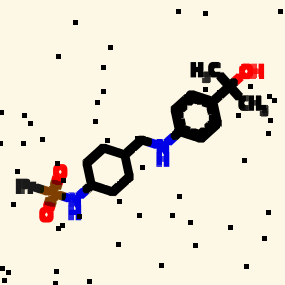 CC(C)S(=O)(=O)NC1CCC(CNc2ccc(C(C)(C)O)cc2)CC1